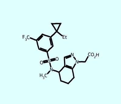 CCC1(c2cc(C(F)(F)F)cc(S(=O)(=O)N(C)C3CCCc4c3cnn4CC(=O)O)c2)CC1